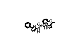 CC(Oc1cccc(NC(=O)Nc2csc(-c3ccccc3)n2)n1)C1CNC1